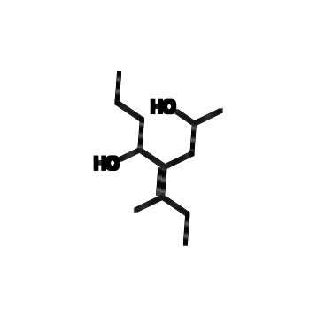 CCCC(O)/C(CC(C)O)=C(\C)CC